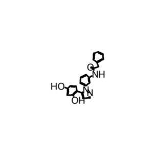 O=C(Cc1ccccc1)Nc1cccc(-n2nccc2-c2ccc(O)cc2O)c1